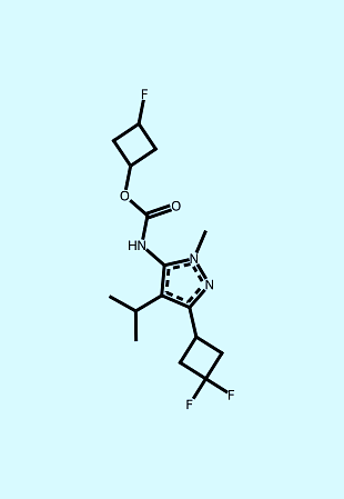 CC(C)c1c(C2CC(F)(F)C2)nn(C)c1NC(=O)OC1CC(F)C1